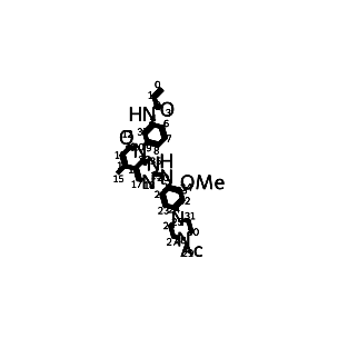 C=CC(=O)Nc1cccc(-n2c(=O)cc(C)c3cnc(Nc4ccc(N5CCN(C(C)=O)CC5)cc4OC)nc32)c1